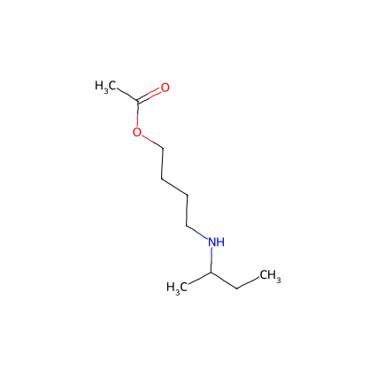 CCC(C)NCCCCOC(C)=O